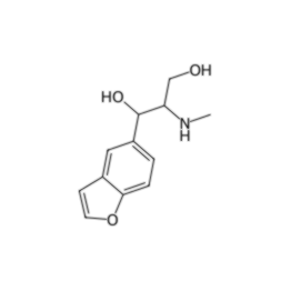 CNC(CO)C(O)c1ccc2occc2c1